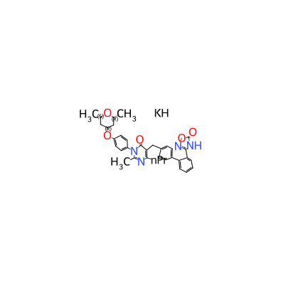 CCCc1nc(C)n(-c2ccc(O[C@H]3C[C@@H](C)O[C@@H](C)C3)cc2)c(=O)c1Cc1ccc(-c2ccccc2-c2noc(=O)[nH]2)cc1.[KH]